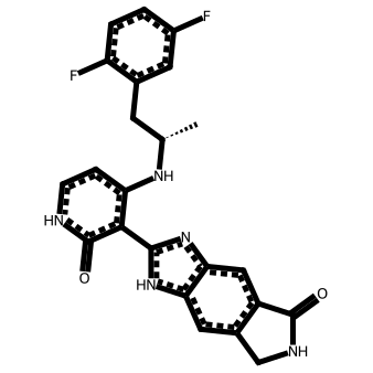 C[C@@H](Cc1cc(F)ccc1F)Nc1cc[nH]c(=O)c1-c1nc2cc3c(cc2[nH]1)CNC3=O